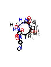 CO[C@H]1/C=C\C=C(/C)C(=O)NC2=CC(=O)C(NC(=O)c3ccc(CN4CCCC4)cc3)=C(C[C@@H](C)C[C@H](OC)[C@H](O)[C@@H](C)/C=C(\C)[C@@H]1OC(N)=O)C2=O